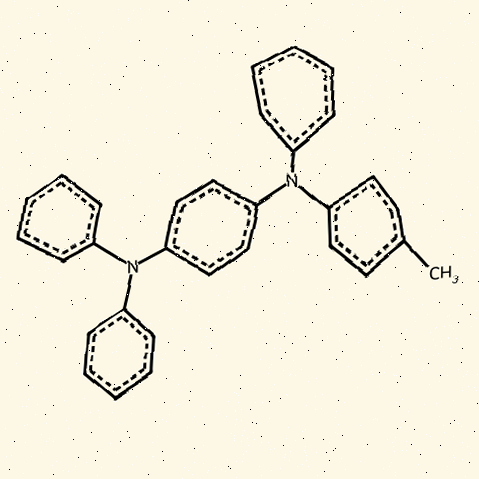 Cc1ccc(N(c2ccccc2)c2ccc(N(c3ccccc3)c3ccccc3)cc2)cc1